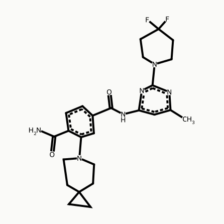 Cc1cc(NC(=O)c2ccc(C(N)=O)c(N3CCC4(CC3)CC4)c2)nc(N2CCC(F)(F)CC2)n1